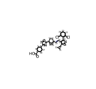 O=C(O)c1ccc(-c2noc(C34CCC(/C=C/c5c(-c6c(Cl)cccc6Cl)noc5C5CC5)(CC3)C4)n2)cc1